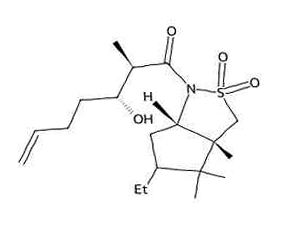 C=CCC[C@@H](O)[C@@H](C)C(=O)N1[C@H]2CC(CC)C(C)(C)[C@@]2(C)CS1(=O)=O